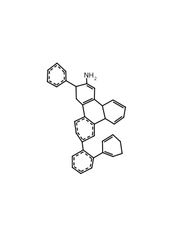 NC1=CC2=C(CC1c1ccccc1)c1ccc(-c3ccccc3C3=CCCC=C3)cc1C1C=CC=CC21